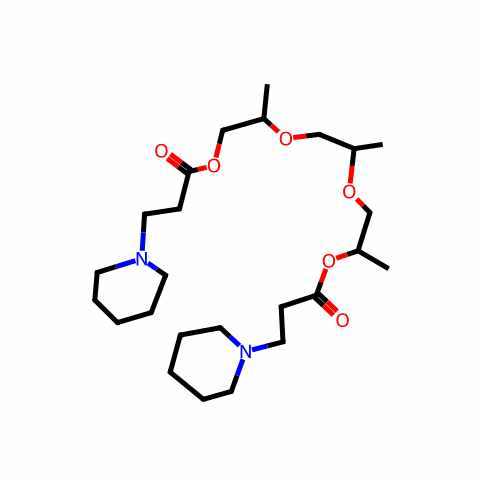 CC(COC(=O)CCN1CCCCC1)OCC(C)OCC(C)OC(=O)CCN1CCCCC1